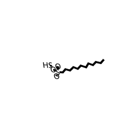 CCCCCCCCCCCCS(=O)(=O)OS